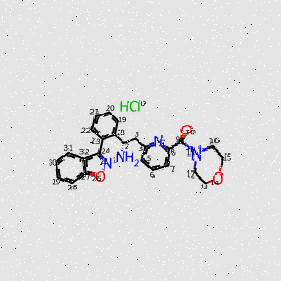 Cl.N[C@@H](Cc1cccc(C(=O)N2CCOCC2)n1)c1ccccc1-c1noc2ccccc12